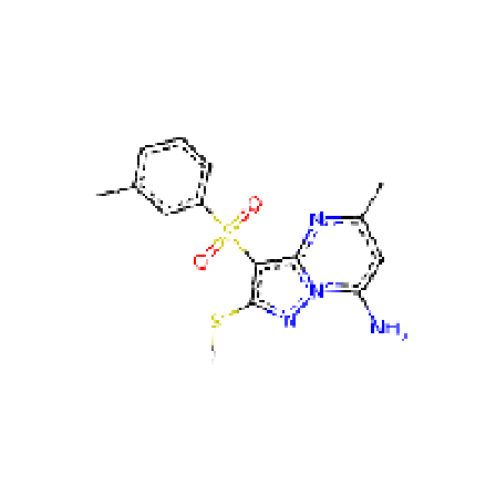 CSc1nn2c(N)cc(C)nc2c1S(=O)(=O)c1cccc(C)c1